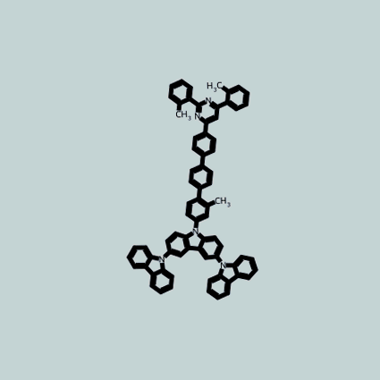 Cc1cc(-n2c3ccc(-n4c5ccccc5c5ccccc54)cc3c3cc(-n4c5ccccc5c5ccccc54)ccc32)ccc1-c1ccc(-c2ccc(-c3cc(-c4ccccc4C)nc(-c4ccccc4C)n3)cc2)cc1